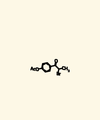 CC(=O)Oc1ccc(C(=O)C(C)Br)cc1